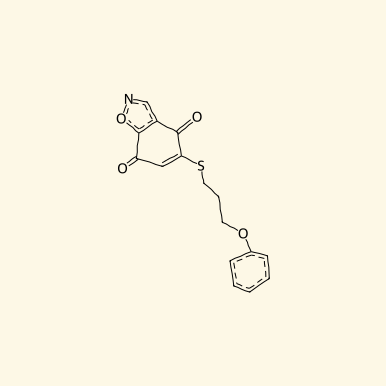 O=C1C(SCCCOc2ccccc2)=CC(=O)c2oncc21